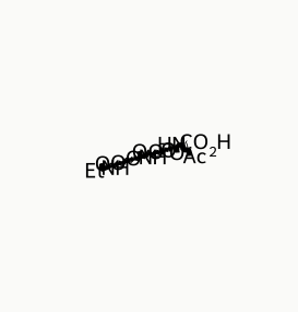 CCC(=O)NCCOCCCOCC(=O)NCCOCCOCC(=O)N[C@@H](CCC(C)=O)C(=O)O